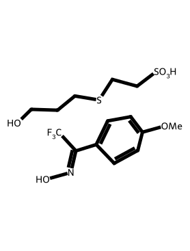 COc1ccc(/C(=N/O)C(F)(F)F)cc1.O=S(=O)(O)CCSCCCO